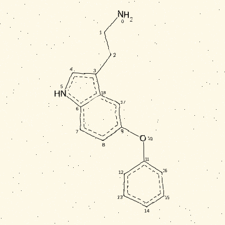 NCCc1c[nH]c2ccc(Oc3ccccc3)cc12